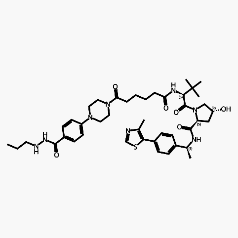 CCCNNC(=O)c1ccc(N2CCN(C(=O)CCCCC(=O)N[C@H](C(=O)N3C[C@H](O)C[C@H]3C(=O)N[C@@H](C)c3ccc(-c4scnc4C)cc3)C(C)(C)C)CC2)cc1